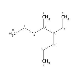 CCC[C](CC)C(C)CCC